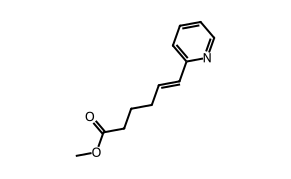 COC(=O)CCCC=Cc1ccccn1